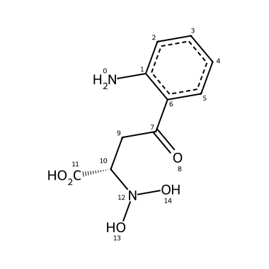 Nc1ccccc1C(=O)C[C@@H](C(=O)O)N(O)O